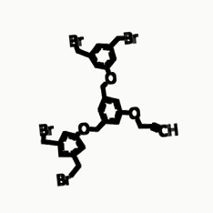 C#CCOc1cc(COc2cc(CBr)cc(CBr)c2)cc(COc2cc(CBr)cc(CBr)c2)c1